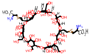 N[C@H](CSCC[C@H]1O[C@H](O)/C(O)=C(/O)[C@H](CCO)O[C@H]2OC(CO)[C@@H](O[C@@H](O)/C(O)=C(\O)[C@@H](CCO)O[C@H](O)/C(O)=C(\O)[C@@H](CCSC[C@@H](N)C(=O)O)O[C@@H]3OC(CO)[C@@H](O[C@@H]4OC(CO)[C@@H](O[C@@H](O)/C(O)=C\1O)C(O)C4O)C(O)C3O)C(O)C2O)C(=O)O